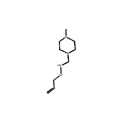 C=C[CH]O[14CH2]CN1CCN(C)CC1